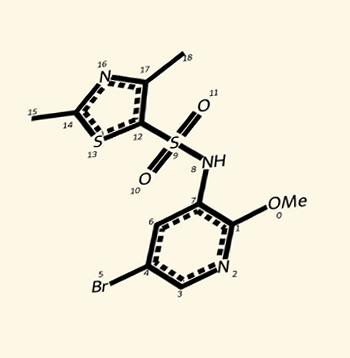 COc1ncc(Br)cc1NS(=O)(=O)c1sc(C)nc1C